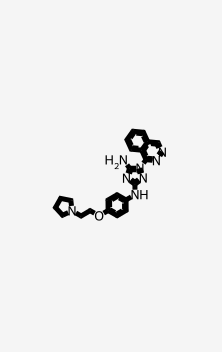 Nc1nc(Nc2ccc(OCCN3CCCC3)cc2)nn1-c1nncc2ccccc12